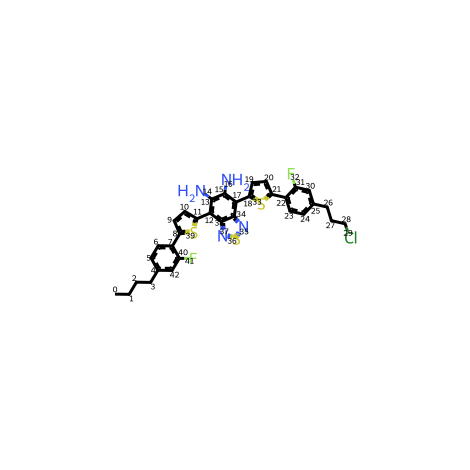 CCCCc1ccc(-c2ccc(-c3c(N)c(N)c(-c4ccc(-c5ccc(CCCCl)cc5F)s4)c4nsnc34)s2)c(F)c1